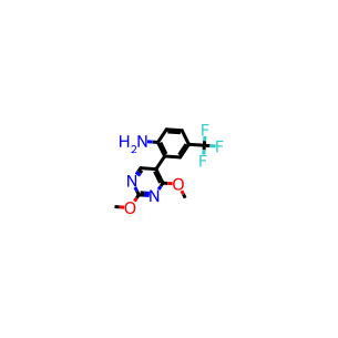 COc1ncc(-c2cc(C(F)(F)F)ccc2N)c(OC)n1